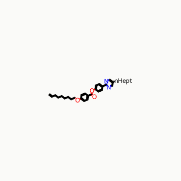 C=CCCCCCCCOc1ccc(C(=O)Oc2ccc(-c3ncc(CCCCCCC)cn3)cc2)cc1